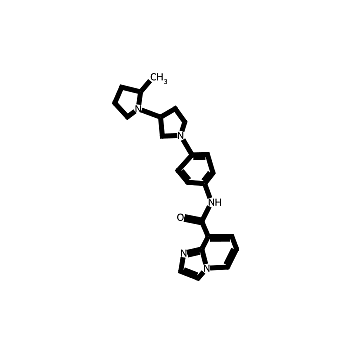 CC1CCCN1C1CCN(c2ccc(NC(=O)c3cccn4ccnc34)cc2)C1